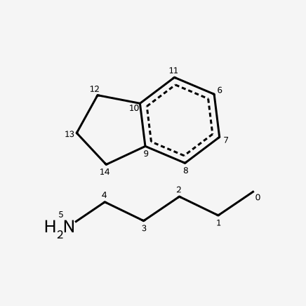 CCCCCN.c1ccc2c(c1)CCC2